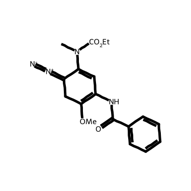 CCOC(=O)N(C)C1=CC(NC(=O)c2ccccc2)=C(OC)CC1=[N+]=[N-]